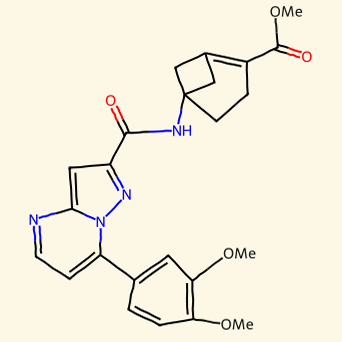 COC(=O)C1=C2CC(NC(=O)c3cc4nccc(-c5ccc(OC)c(OC)c5)n4n3)(CC1)C2